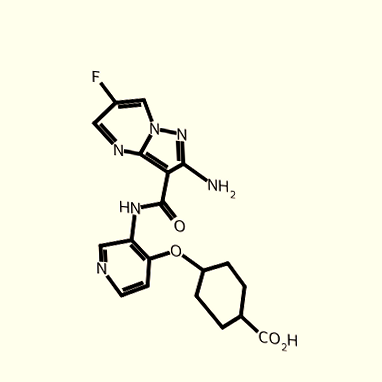 Nc1nn2cc(F)cnc2c1C(=O)Nc1cnccc1OC1CCC(C(=O)O)CC1